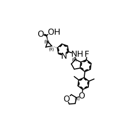 Cc1cc(O[C@H]2CCOC2)cc(C)c1-c1ccc(F)c2c1CC[C@H]2Nc1ccc([C@@H]2C[C@H]2C(=O)O)cn1